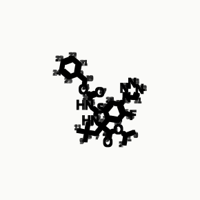 CC(C)OC(=O)C(CC(C)(C)C)(NC(=S)NC(=O)OCc1ccccc1)c1ccc(-n2cnnn2)c(F)c1